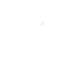 CCOP(=O)(OCC)C(O)c1cc2cc(C)ccc2cc1Br